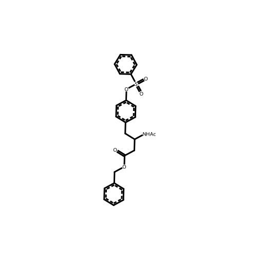 CC(=O)NC(CC(=O)OCc1ccccc1)Cc1ccc(OS(=O)(=O)c2ccccc2)cc1